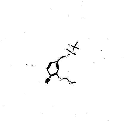 C#Cc1ccc(CO[Si](C)(C)C(C)(C)C)cc1OCOC